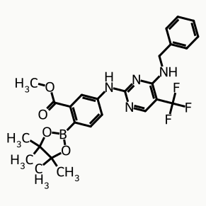 COC(=O)c1cc(Nc2ncc(C(F)(F)F)c(NCc3ccccc3)n2)ccc1B1OC(C)(C)C(C)(C)O1